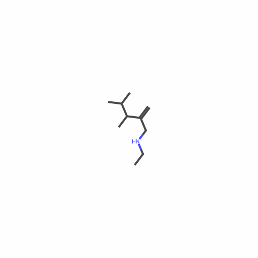 C=C(CNCC)C(C)C(C)C